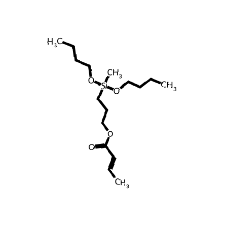 CC=CC(=O)OCCC[Si](C)(OCCCC)OCCCC